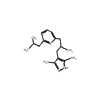 Cc1n[nH]c(C)c1CC(C)Cc1cccc(CC(C)C)n1